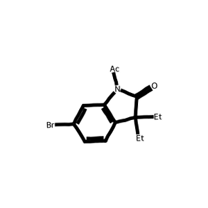 CCC1(CC)C(=O)N(C(C)=O)c2cc(Br)ccc21